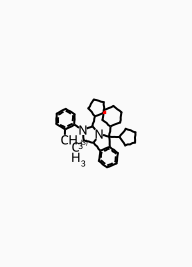 Cc1ccccc1N1C(C2CCCC2)N2C(c3ccccc3C2(C2CCCCC2)C2CCCC2)[C@@H]1C